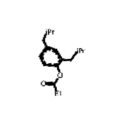 CCC(=O)Oc1ccc(CC(C)C)cc1CC(C)C